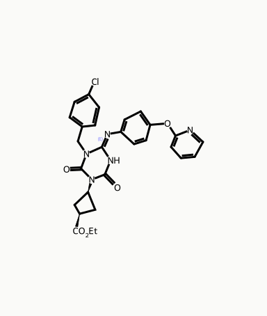 CCOC(=O)[C@H]1C[C@@H](n2c(=O)[nH]/c(=N\c3ccc(Oc4ccccn4)cc3)n(Cc3ccc(Cl)cc3)c2=O)C1